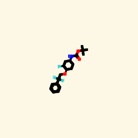 CC(C)(C)OC(=O)N[C@H]1CC[C@H](OCC(F)(F)c2ccccc2)[C@@H](F)C1